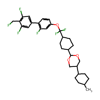 CC1CCC(C2COC(C3CCC(C(F)(F)Oc4ccc(-c5cc(F)c(CF)c(F)c5)c(F)c4)CC3)OC2)CC1